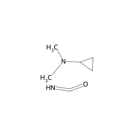 CN(C)C1CC1.N=C=O